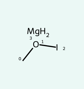 COI.[MgH2]